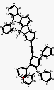 CC1(C)c2cc(C#Cc3cc(-c4ccccc4)c(N(c4ccccc4)c4ccccc4)cc3-c3ccccc3)ccc2-c2ccc3c4ccccc4n(-c4ccccc4)c3c21